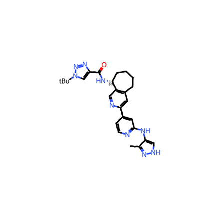 Cc1n[nH]cc1Nc1cc(-c2cc3c(cn2)[C@H](NC(=O)c2cn(C(C)(C)C)nn2)CCCC3)ccn1